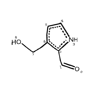 O=Cc1[nH]ccc1CO